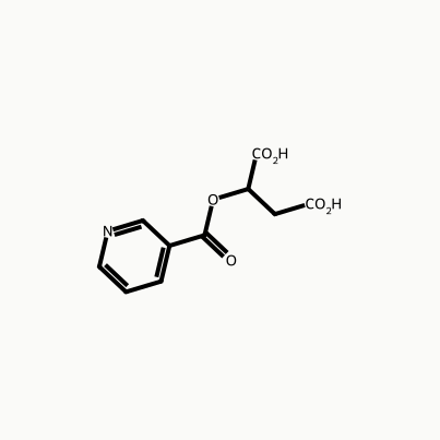 O=C(O)CC(OC(=O)c1cccnc1)C(=O)O